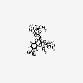 CC(C)(C)OC(=O)/C=C(\Oc1ccc([N+](=O)[O-])cc1)C(=O)OC(C)(C)C